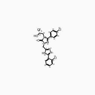 O=c1n(Cc2nnc(-c3ccccc3Cl)[nH]2)nc(-c2ccc(Cl)cc2)n1C[C@H](O)C(F)(F)F